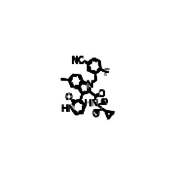 Cc1ccc2c(c1)c(-c1ccc[nH]c1=O)c(C(=O)NS(=O)(=O)C1CC1)n2Cc1cc(C#N)ccc1F